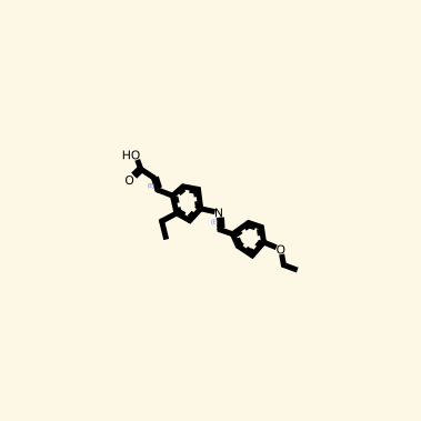 CCOc1ccc(/C=N/c2ccc(/C=C/C(=O)O)c(CC)c2)cc1